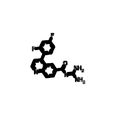 NC(N)=NC(=O)c1ccc2nccc(-c3ccc(F)cc3F)c2c1